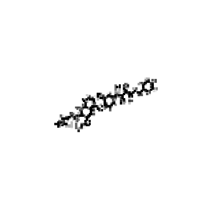 COc1cc2c(Oc3ccc(NC(=O)C(=O)NCCc4ccccc4)cc3F)ccnc2cc1OCC1CNC1